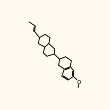 CC=CC1CCC2CC(C3CCc4cc(OC)ccc4C3)CCC2C1